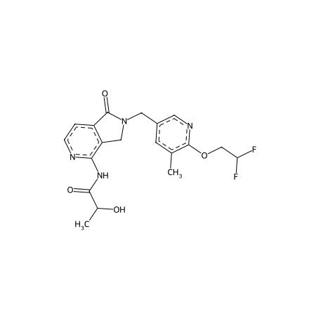 Cc1cc(CN2Cc3c(ccnc3NC(=O)C(C)O)C2=O)cnc1OCC(F)F